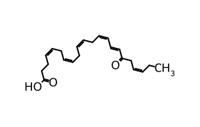 CC/C=C\CC(=O)C=C/C=C\C/C=C\C/C=C\C/C=C\CCC(=O)O